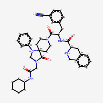 N#Cc1cccc(C[C@@H](NC(=O)[C@H]2Cc3ccccc3CN2)C(=O)N2CCC3(CC2)C(=O)N(CC(=O)NC2CCCCC2)CN3c2ccccc2)c1